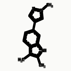 Cc1[nH]c2cc(-c3cnn(C)c3)ccc2c1C